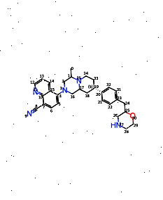 CC1CN(c2ccc(C#N)c3ncccc23)CC2C[C@@H](c3ccc(CC4CNCCO4)cc3)CCN12